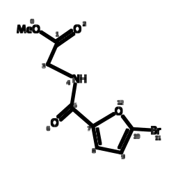 COC(=O)CNC(=O)c1ccc(Br)o1